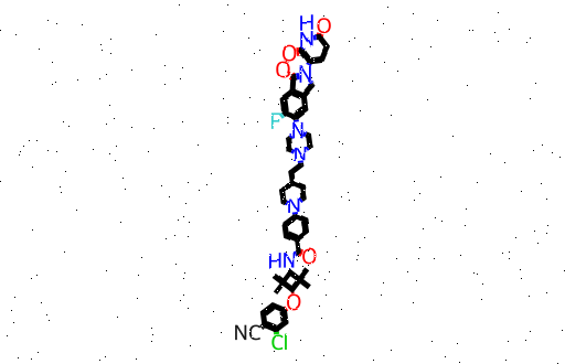 CC1(C)[C@H](NC(=O)c2ccc(N3CCC(CCN4CCN(c5cc6c(cc5F)C(=O)N(C5CCC(=O)NC5=O)C6)CC4)CC3)cc2)C(C)(C)[C@H]1Oc1ccc(C#N)c(Cl)c1